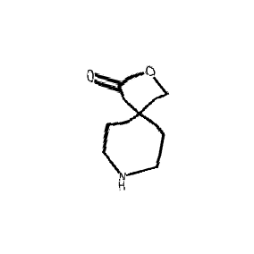 O=C1OCC12CCNCC2